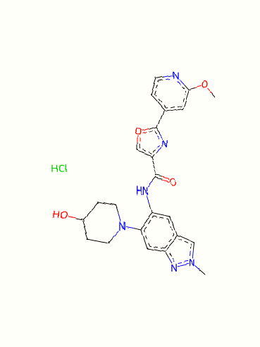 COc1cc(-c2nc(C(=O)Nc3cc4cn(C)nc4cc3N3CCC(O)CC3)co2)ccn1.Cl